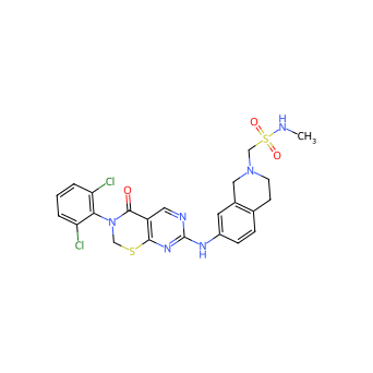 CNS(=O)(=O)CN1CCc2ccc(Nc3ncc4c(n3)SCN(c3c(Cl)cccc3Cl)C4=O)cc2C1